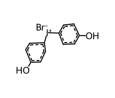 Oc1ccc([I+]c2ccc(O)cc2)cc1.[Br-]